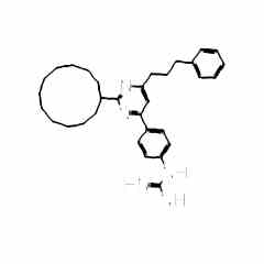 N=C(N)Nc1ccc(-c2cc(CCCc3ccccc3)nc(C3CCCCCCCCCCC3)n2)cc1